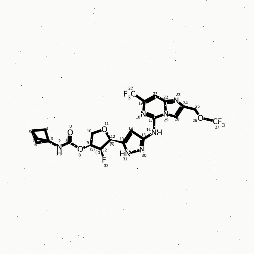 O=C(NC12CC(C1)C2)O[C@H]1CO[C@@H](c2cc(Nc3nc(C(F)(F)F)cc4nc(COC(F)(F)F)cn34)n[nH]2)[C@H]1F